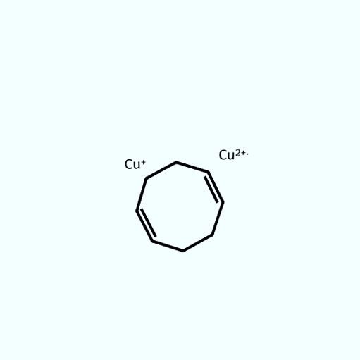 C1=CCCC=CCC1.[Cu+2].[Cu+]